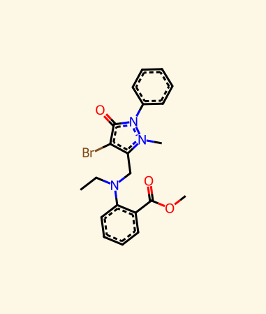 CCN(Cc1c(Br)c(=O)n(-c2ccccc2)n1C)c1ccccc1C(=O)OC